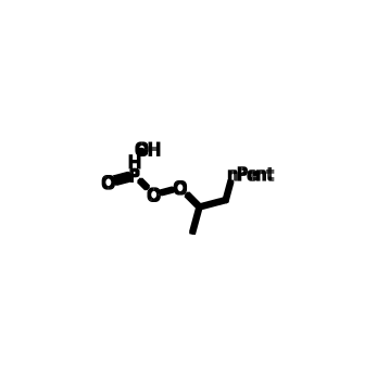 CCCCCCC(C)OO[PH](=O)O